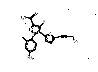 CCc1c(C(N)=O)nn(-c2ccc(N)cc2Cl)c1-c1ccc(C#CCC(C)C)s1